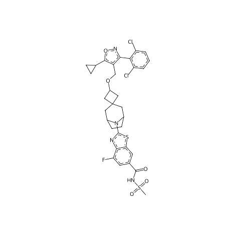 CS(=O)(=O)NC(=O)c1cc(F)c2nc(N3C4CCC3CC3(CC(OCc5c(-c6c(Cl)cccc6Cl)noc5C5CC5)C3)C4)sc2c1